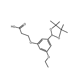 CCOc1cc(OCCC(=O)O)cc(B2OC(C)(C)C(C)(C)O2)c1